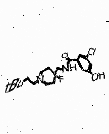 CC(C)(C)CCN1CCC(F)(CNC(=O)c2cc(O)cc(Cl)c2)CC1